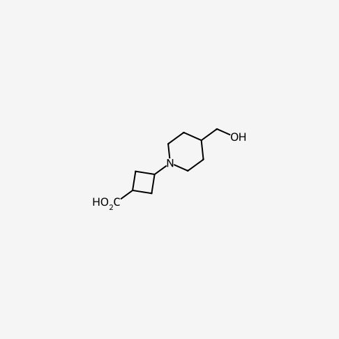 O=C(O)C1CC(N2CCC(CO)CC2)C1